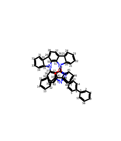 c1ccc(-c2ccc(-c3nc(-c4ccccc4)cc(-n4c5ccccc5c5ccc6c7ccccc7n(-c7cccc8c7oc7ccccc78)c6c54)n3)cc2)cc1